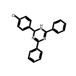 Clc1ccc(C2N=C(c3ccccc3)N=C(c3ccccc3)N2)cc1